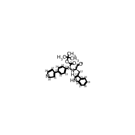 CC(C)(C)OC(=O)N(N[C@@H](C=O)Cc1c[nH]c2ccccc12)c1ccc(-c2ccncc2)cc1